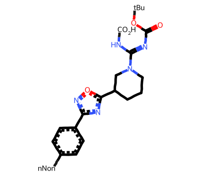 CCCCCCCCCc1ccc(-c2noc(C3CCCN(C(=NC(=O)OC(C)(C)C)NC(=O)O)C3)n2)cc1